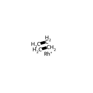 C=C.C=C.[Rh+]